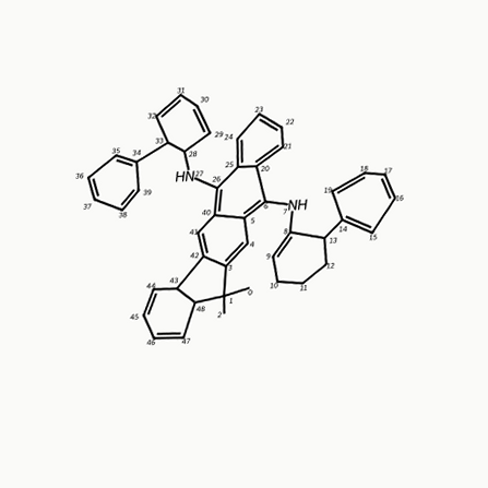 CC1(C)c2cc3c(NC4=CCCCC4c4ccccc4)c4ccccc4c(NC4C=CC=CC4c4ccccc4)c3cc2C2C=CC=CC21